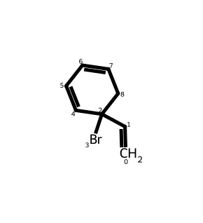 C=CC1(Br)C=CC=CC1